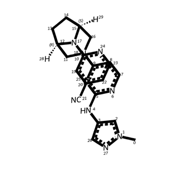 Cn1cc(Nc2nccc(N3C[C@H]4CC[C@@H](C3)N4c3cc(C#N)ccn3)n2)cn1